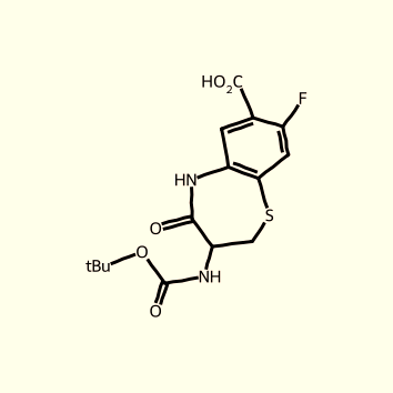 CC(C)(C)OC(=O)NC1CSc2cc(F)c(C(=O)O)cc2NC1=O